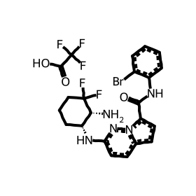 N[C@@H]1[C@H](Nc2ccc3ccc(C(=O)Nc4ccccc4Br)n3n2)CCCC1(F)F.O=C(O)C(F)(F)F